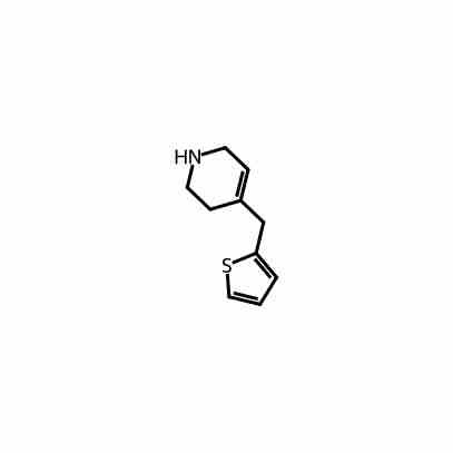 C1=C(Cc2cccs2)CCNC1